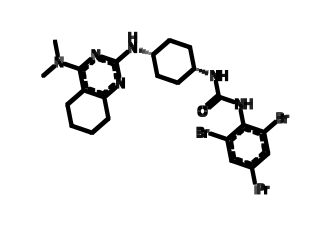 CC(C)c1cc(Br)c(NC(=O)N[C@H]2CC[C@@H](Nc3nc4c(c(N(C)C)n3)CCCC4)CC2)c(Br)c1